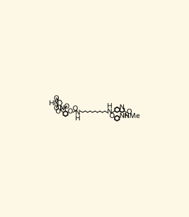 CNC(=O)c1cnc2ccc(C(=O)NCCCCCCCCCCCCNC(=O)COc3cccc4c3C(=O)N(C3CCC(=O)NC3=O)C4=O)cc2c1Nc1ccccc1